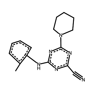 Cc1ccccc1Nc1nc(C#N)nc(N2CCCCC2)n1